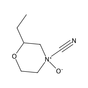 CCC1C[N+]([O-])(C#N)CCO1